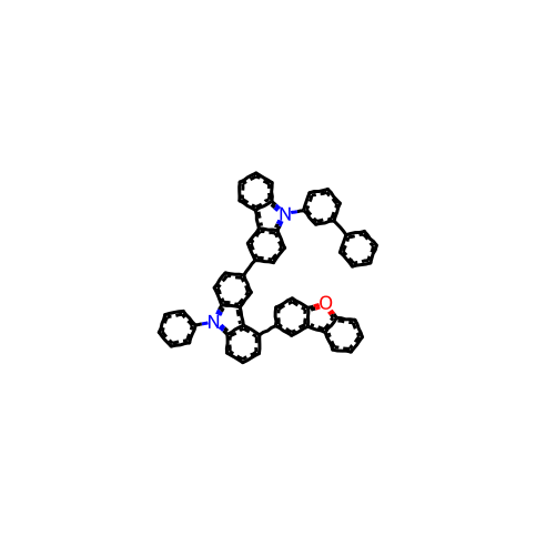 c1ccc(-c2cccc(-n3c4ccccc4c4cc(-c5ccc6c(c5)c5c(-c7ccc8oc9ccccc9c8c7)cccc5n6-c5ccccc5)ccc43)c2)cc1